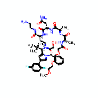 COCCOCCOCC(=O)N[C@H](C)C(=O)N[C@H](C)C(=O)N[C@@H](CC(N)=O)C(=O)N[C@@H](CCN(C(=O)CO)[C@@H](c1cc(-c2cc(F)ccc2F)cn1Cc1ccccc1)C(C)(C)C)C(=O)NCCN